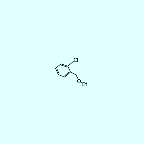 C[CH]OCc1ccccc1Cl